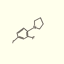 Fc1cc(I)ccc1N1CCCC1